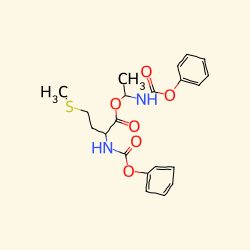 CSCCC(NC(=O)Oc1ccccc1)C(=O)OC(C)NC(=O)Oc1ccccc1